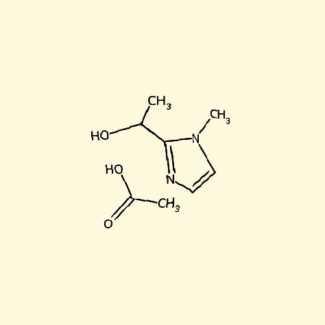 CC(=O)O.CC(O)c1nccn1C